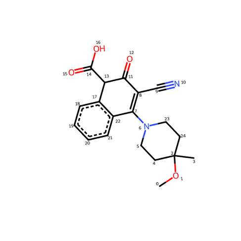 COC1(C)CCN(C2=C(C#N)C(=O)C(C(=O)O)c3ccccc32)CC1